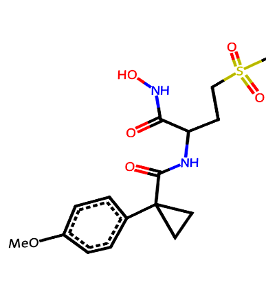 COc1ccc(C2(C(=O)NC(CCS(C)(=O)=O)C(=O)NO)CC2)cc1